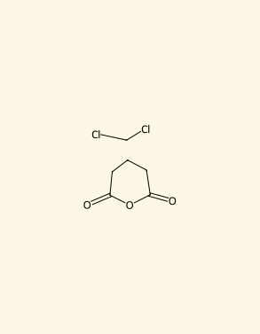 ClCCl.O=C1CCCC(=O)O1